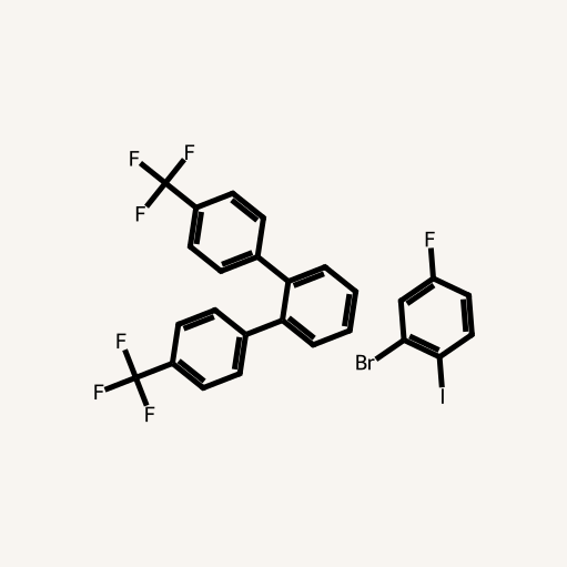 FC(F)(F)c1ccc(-c2ccccc2-c2ccc(C(F)(F)F)cc2)cc1.Fc1ccc(I)c(Br)c1